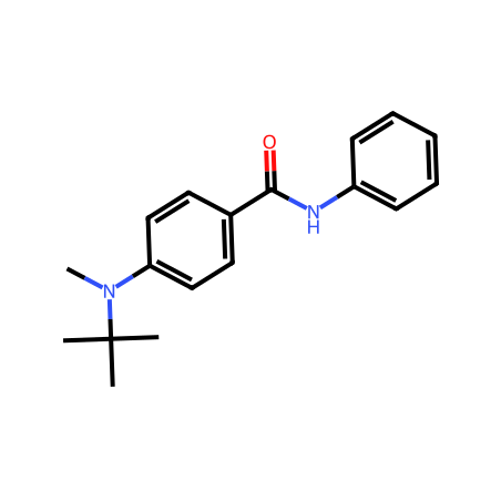 CN(c1ccc(C(=O)Nc2ccccc2)cc1)C(C)(C)C